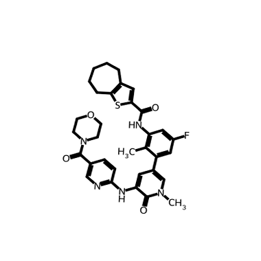 Cc1c(NC(=O)c2cc3c(s2)CCCCC3)cc(F)cc1-c1cc(Nc2ccc(C(=O)N3CCOCC3)cn2)c(=O)n(C)c1